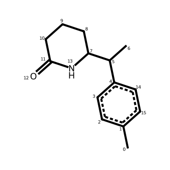 Cc1ccc(C(C)C2CCCC(=O)N2)cc1